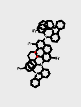 CC(C)c1cccc(-n2c3ccccc3c3cccc(N(c4cccc5c4CCCC5)c4cc(C(C)C)c5ccc6c(N(c7cccc8c7CCCC8)c7cccc8c9ccccc9n(-c9cccc(C(C)C)c9)c78)cc(C(C)C)c7ccc4c5c76)c32)c1